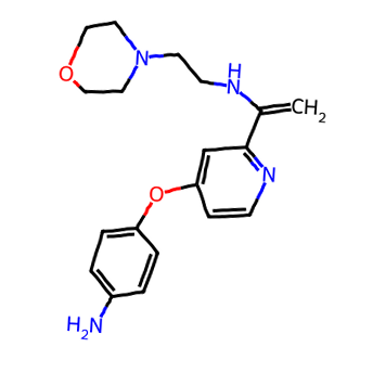 C=C(NCCN1CCOCC1)c1cc(Oc2ccc(N)cc2)ccn1